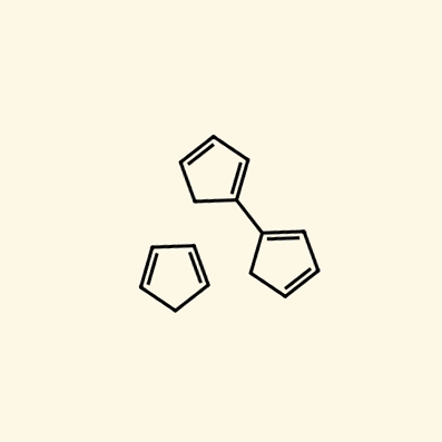 C1=CCC(C2=CC=CC2)=C1.C1=CCC=C1